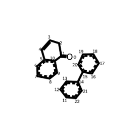 O=C1CC=Cc2ccccc21.c1ccc(-c2ccccc2)cc1